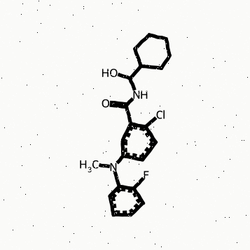 CN(c1ccc(Cl)c(C(=O)NC(O)C2CCCCC2)c1)c1ccccc1F